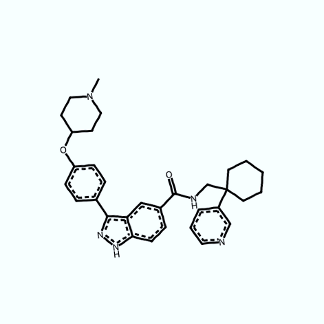 CN1CCC(Oc2ccc(-c3n[nH]c4ccc(C(=O)NCC5(c6cccnc6)CCCCC5)cc34)cc2)CC1